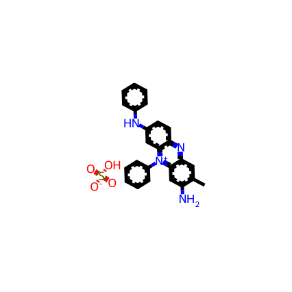 Cc1cc2nc3ccc(Nc4ccccc4)cc3[n+](-c3ccccc3)c2cc1N.O=S(=O)([O-])O